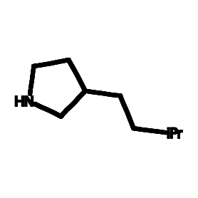 CC(C)CCC1CCNC1